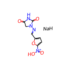 O=C1CN(N=Cc2ccc([N+](=O)O)o2)C(=O)N1.[NaH]